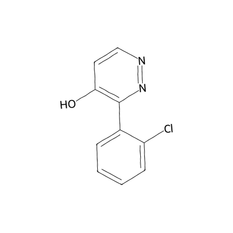 Oc1ccnnc1-c1ccccc1Cl